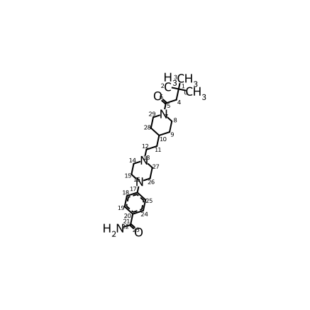 CC(C)(C)CC(=O)N1CCC(CCN2CCN(c3ccc(C(N)=O)cc3)CC2)CC1